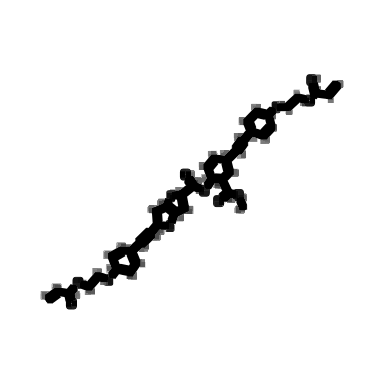 C=CC(=O)OCCSc1ccc(C#Cc2ccc(OC(=O)c3cc4sc(C#Cc5ccc(SCCOC(=O)C=C)cc5)cc4s3)c(C(=O)OC)c2)cc1